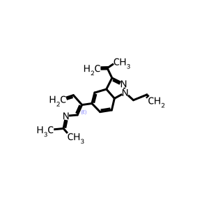 C=CCN1N=C(C(=C)C)C2C=C(/C(C=C)=C/N=C(C)C)C=CC21